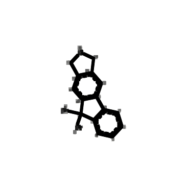 CC(C)C1(C(C)C)c2ccccc2-c2cc3c(cc21)COC3